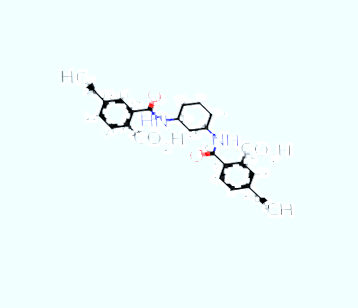 C#Cc1ccc(C(=O)NC2CCCC(NC(=O)c3cc(C#C)ccc3C(=O)O)C2)c(C(=O)O)c1